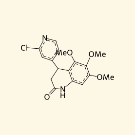 COc1cc2c(c(OC)c1OC)C(c1ccnc(Cl)c1)CC(=O)N2